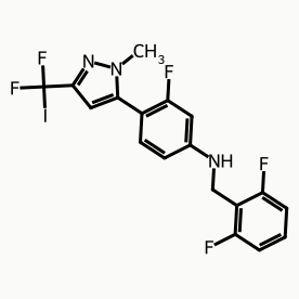 Cn1nc(C(F)(F)I)cc1-c1ccc(NCc2c(F)cccc2F)cc1F